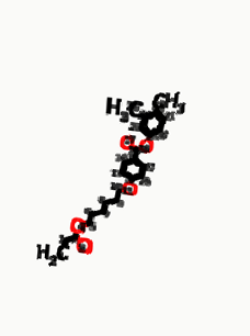 C=CC(=O)OCCCCCCOc1ccc(C(=O)Oc2ccc(C)c(C)c2)cc1